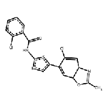 CC1=NC2C=C(Cl)C(c3cnc(NC(=O)c4ccccc4Cl)s3)=CC2O1